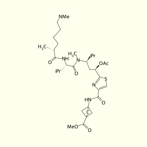 CNCCCC[C@@H](C)C(=O)N[C@H](C(=O)N(C)[C@H](C[C@@H](OC(C)=O)c1nc(C(=O)NC23CC(C(=O)OC)(C2)C3)cs1)C(C)C)C(C)C